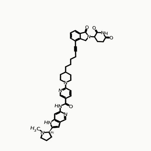 CN1CCC[C@@H]1c1cc2cnc(NC(=O)c3ccc(N4CCC(CCCCC#Cc5cccc6c5CN(C5CCC(=O)NC5=O)C6=O)CC4)nc3)cc2[nH]1